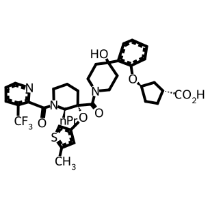 CCC[C@H]1N(C(=O)c2ncccc2C(F)(F)F)CCC[C@@]1(Oc1csc(C)c1)C(=O)N1CCC(O)(c2ccccc2O[C@@H]2CC[C@@H](C(=O)O)C2)CC1